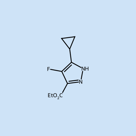 CCOC(=O)c1n[nH]c(C2CC2)c1F